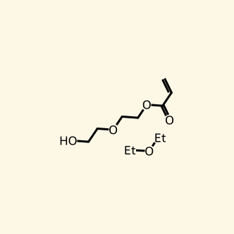 C=CC(=O)OCCOCCO.CCOCC